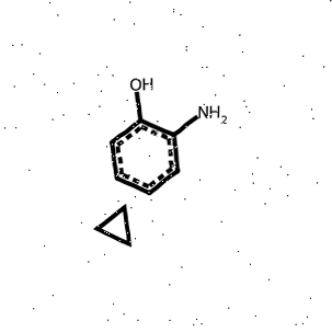 C1CC1.Nc1ccccc1O